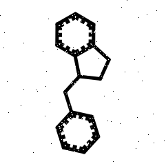 [CH]1Cc2ccccc2C1Cc1ccccc1